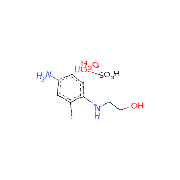 Cc1cc(N)ccc1NCCO.O.O=S(=O)(O)O